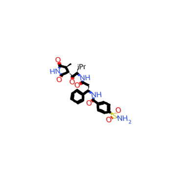 CC(C)[C@H](NC(=O)C[C@H](NC(=O)c1ccc(S(N)(=O)=O)cc1)c1ccccc1)C(=O)[C@@H]1C(=O)NC(=O)[C@H]1C